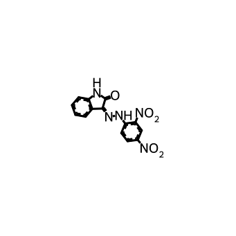 O=C1Nc2ccccc2/C1=N/Nc1ccc([N+](=O)[O-])cc1[N+](=O)[O-]